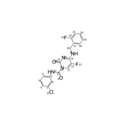 O=C(Nc1cccc(Cl)c1)n1cc(F)c(NCc2ccccc2F)nc1=O